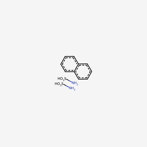 NS(=O)(=O)O.NS(=O)(=O)O.c1ccc2ccccc2c1